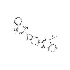 Nc1ccccc1NC(=O)c1cc2c(s1)CCN(C(=O)Nc1ccccc1OC(F)F)C2